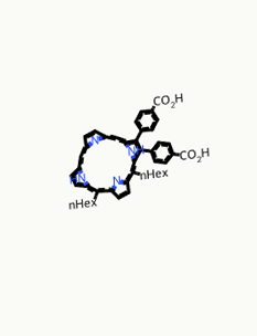 CCCCCCc1c2nc(c(CCCCCC)c3[nH]c(cc4nc(cc5ccc1[nH]5)C=C4)c(-c1ccc(C(=O)O)cc1)c3-c1ccc(C(=O)O)cc1)C=C2